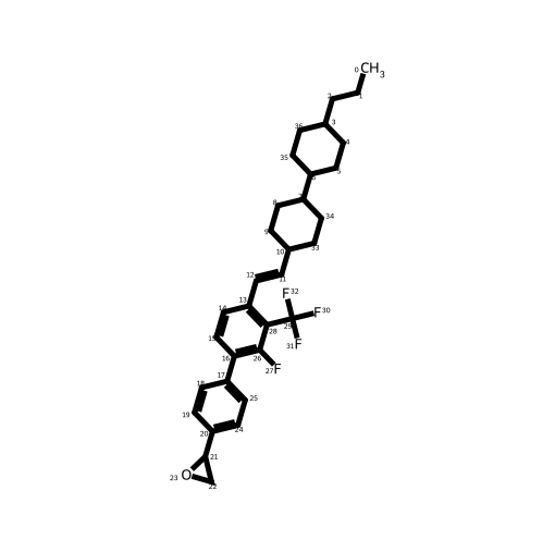 CCCC1CCC(C2CCC(/C=C/c3ccc(-c4ccc(C5CO5)cc4)c(F)c3C(F)(F)F)CC2)CC1